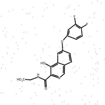 O=C(O)CNC(=O)c1ncc2ccc(Oc3ccc(F)c(F)c3)cc2c1O